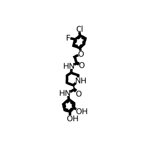 O=C(COc1ccc(Cl)c(F)c1)NC1CC[C@H](C(=O)Nc2ccc(O)c(O)c2)NC1